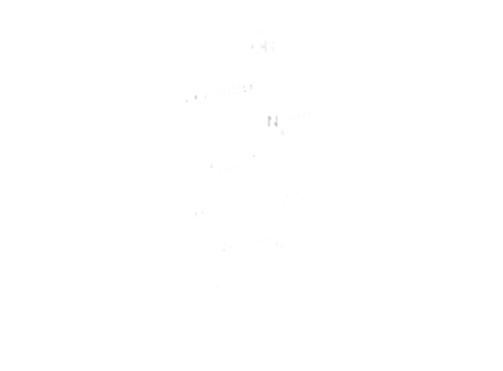 C#CC1CCC(N(C)C(=O)O)CC1